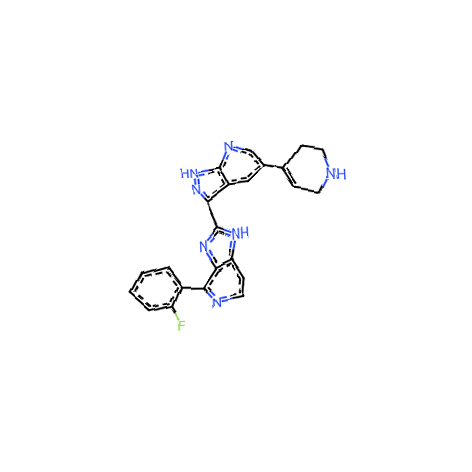 Fc1ccccc1-c1nccc2[nH]c(-c3n[nH]c4ncc(C5=CCNCC5)cc34)nc12